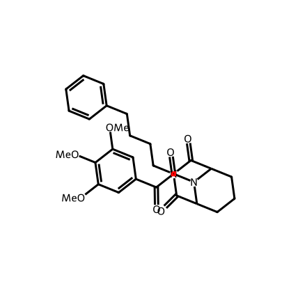 COc1cc(C(=O)C(=O)N2C3CCCC2C(=O)N(CCCCc2ccccc2)C3=O)cc(OC)c1OC